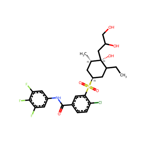 CCC1C[C@@H](S(=O)(=O)c2cc(C(=O)Nc3cc(F)c(F)c(F)c3)ccc2Cl)C[C@H](C)[C@@]1(O)CC(O)CO